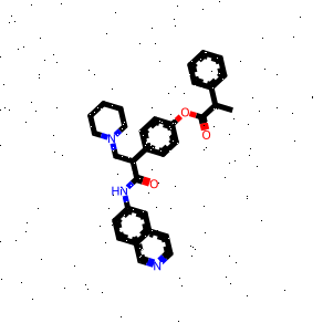 CC(C(=O)Oc1ccc(C(CN2CCCCC2)C(=O)Nc2ccc3cnccc3c2)cc1)c1ccccc1